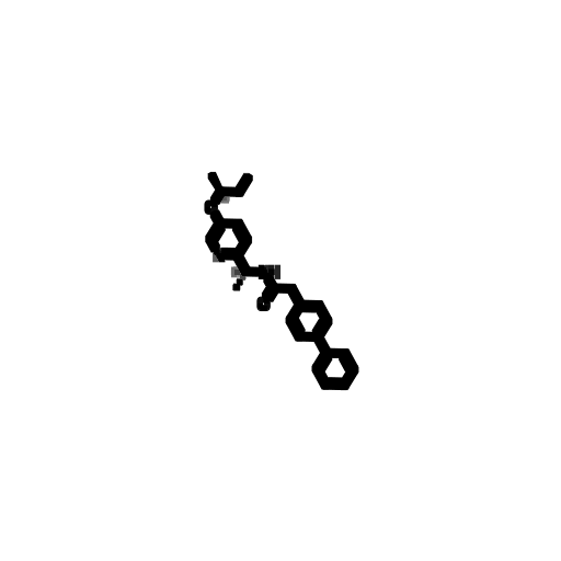 CC[C@H](C)Oc1ccc([C@@H](C)NC(=O)Cc2ccc(-c3ccccc3)cc2)nc1